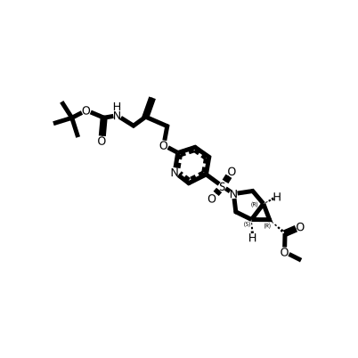 C=C(CNC(=O)OC(C)(C)C)COc1ccc(S(=O)(=O)N2C[C@@H]3[C@H](C2)[C@H]3C(=O)OC)cn1